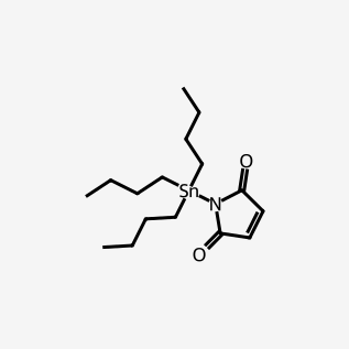 CCC[CH2][Sn]([CH2]CCC)([CH2]CCC)[N]1C(=O)C=CC1=O